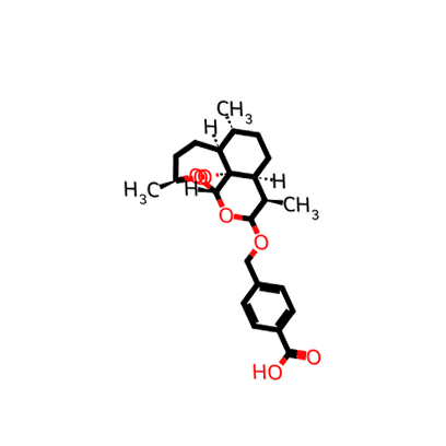 C[C@@H]1CC[C@H]2[C@@H](C)C(OCc3ccc(C(=O)O)cc3)O[C@@H]3O[C@@]4(C)CC[C@@H]1[C@]32OO4